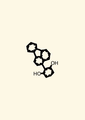 Oc1cccc(O)c1-c1ccc2c3c(cccc13)-c1ccccc1-2